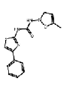 CC1=CCN(NC(=O)Nc2nc(-c3ccccc3)cs2)O1